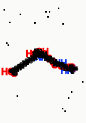 C[C@@H](NC(=O)COCCOCCNC(=O)COCCOCCNC(=O)CC[C@@H](NC(=O)CCCCCCCCCCCCCCCCC(=O)O)C(C)(O)O)C(=O)I